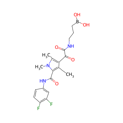 Cc1c(C(=O)C(=O)NCCCB(O)O)c(C)n(C)c1C(=O)Nc1ccc(F)c(F)c1